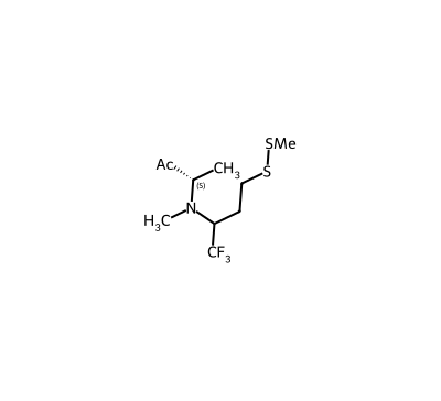 CSSCCC(N(C)[C@@H](C)C(C)=O)C(F)(F)F